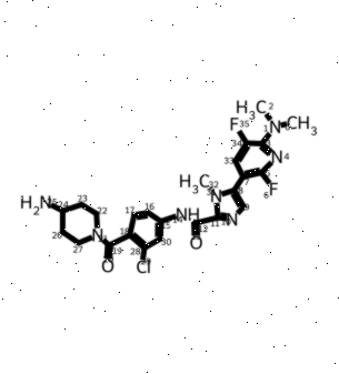 CN(C)c1nc(F)c(-c2cnc(C(=O)Nc3ccc(C(=O)N4CCC(N)CC4)c(Cl)c3)n2C)cc1F